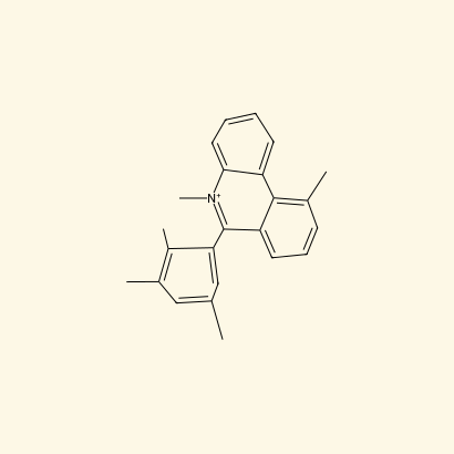 Cc1cc(C)c(C)c(-c2c3cccc(C)c3c3ccccc3[n+]2C)c1